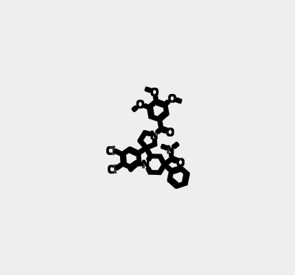 CCN1CCC(C(=O)N(C)C)(c2ccccc2)CC1C1(c2ccc(Cl)c(Cl)c2)CCN(C(=O)c2cc(OC)c(OC)c(OC)c2)C1